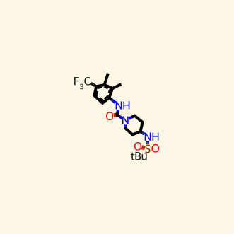 Cc1c(NC(=O)N2CCC(NS(=O)(=O)C(C)(C)C)CC2)ccc(C(F)(F)F)c1C